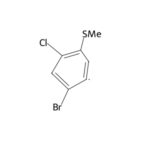 CSc1c[c]c(Br)cc1Cl